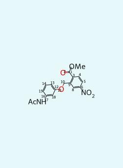 COC(=O)c1ccc([N+](=O)[O-])cc1COc1cccc(NC(C)=O)c1